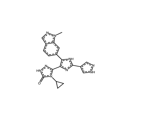 Cn1ncc2ccc(-c3[nH]c(-c4cn[nH]c4)nc3-c3n[nH]c(=O)n3C3CC3)cc21